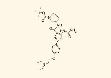 CCN(CC)CCOc1ccc(-c2cc(C(=O)N[C@H]3CCCN(C(=O)OC(C)(C)C)C3)c(NC(N)=O)s2)cc1